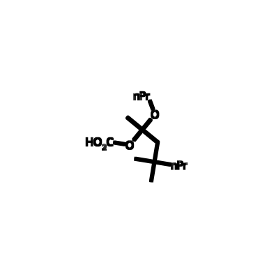 CCCOC(C)(CC(C)(C)CCC)OC(=O)O